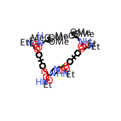 CCNC(=O)OC(COC1CCC(C(C)(C)C2CCC(OCC(CN(CC)CC)OC(=O)NCCC[Si](OC)(OC)OC)CC2)CC1)CN1CCN(CC(COC2CCC(C(C)(C)C3CCC(OCC(CN(CC)CC)OC(=O)NCCC[Si](OC)(OC)OC)CC3)CC2)OC(=O)NCC)CC1